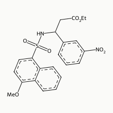 CCOC(=O)CC(NS(=O)(=O)c1ccc(OC)c2ccccc12)c1cccc([N+](=O)[O-])c1